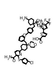 CN(C)C1(Cc2ccc(Cl)cc2)CCC(N)CC1.Cn1nc(-c2ccc(C(=O)O)s2)cc1C(F)(F)F.NC(=O)c1ccc(C2CCC(Cc3ccccc3)(N3CCOCC3)CC2)nc1Sc1ccc(Cl)cc1